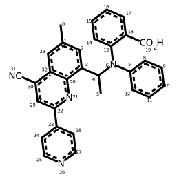 Cc1cc(C(C)N(c2ccccc2)c2ccccc2C(=O)O)c2nc(-c3ccncc3)cc(C#N)c2c1